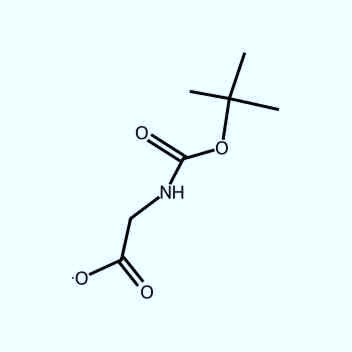 CC(C)(C)OC(=O)NCC([O])=O